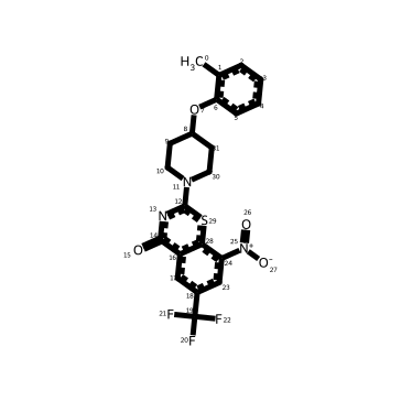 Cc1ccccc1OC1CCN(c2nc(=O)c3cc(C(F)(F)F)cc([N+](=O)[O-])c3s2)CC1